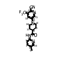 Cc1ccc(NC(=O)C2CCN(c3cnc(C#N)c(C(F)(F)F)c3)CC2)nc1